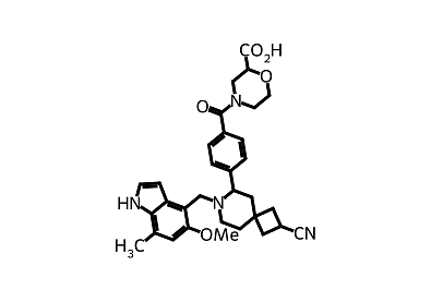 COc1cc(C)c2[nH]ccc2c1CN1CCC2(CC(C#N)C2)CC1c1ccc(C(=O)N2CCOC(C(=O)O)C2)cc1